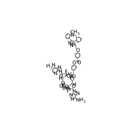 B[P@@]1(=O)OC[C@H]2O[C@@H](n3cnc4c(N)ccnc43)[C@H](F)[C@@H]2O[P@](=O)(SCc2ccc(OC(=O)c3ccc(OCCn4nnc5c4-c4ccccc4CN(C)c4ccccc4-5)cc3)cc2)OC[C@H]2O[C@@H](n3cnc4c(N)ncnc43)[C@H](F)[C@@H]2O1